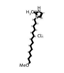 COCCCCCCCCCCCCCC[n+]1cc[nH]c1C.[Cl-]